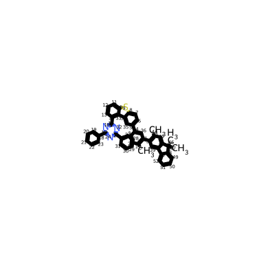 Cc1ccc(-c2ccc3sc4cccc(-c5nc(-c6ccccc6)nc(-c6ccccc6)n5)c4c3c2)cc1-c1cc2c(cc1C)C(C)(C)c1ccccc1-2